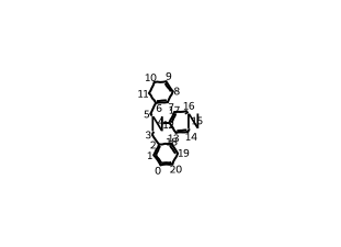 C1=C=C(CN(CC2=CC=CCC2)c2ccncc2)C=CC=1